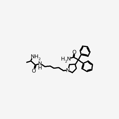 CC(N)C(=O)NCCCCCN1CCC(C(C(N)=O)(c2ccccc2)c2ccccc2)C1